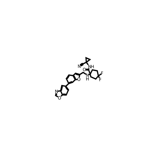 N#CC1(NC(=O)C2(NCc3cc4ccc(-c5ccc6ocnc6c5)cc4o3)CCC(F)(F)CC2)CC1